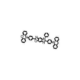 c1ccc(-n2c(-c3ccc(N4c5ccccc5Cc5ccccc54)cc3)nc3cc4oc(-c5ccc(N6c7ccccc7Oc7ccccc76)cc5)nc4cc32)cc1